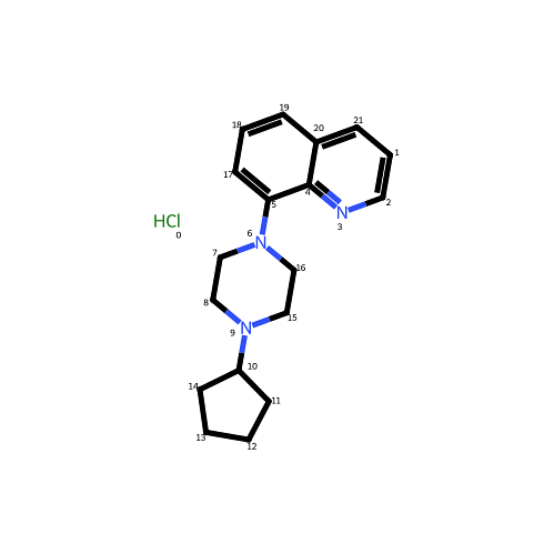 Cl.c1cnc2c(N3CCN(C4CCCC4)CC3)cccc2c1